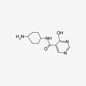 NC1CCC(NC(=O)c2cncnc2O)CC1